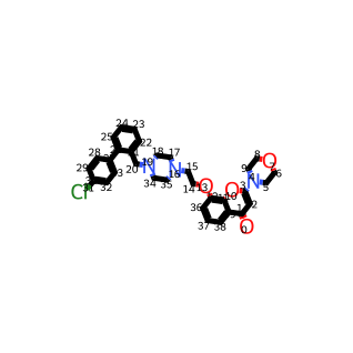 O=c1cc(N2CCOCC2)oc2c(OCCN3CCN(Cc4ccccc4-c4ccc(Cl)cc4)CC3)cccc12